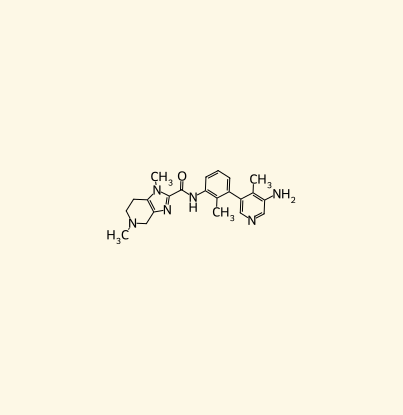 Cc1c(N)cncc1-c1cccc(NC(=O)c2nc3c(n2C)CCN(C)C3)c1C